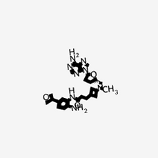 CN(C[C@@H]1CC[C@H](n2cnc3c(N)ncnc32)O1)C1CC(CCC(=O)Nc2cc(C3COC3)ccc2N)C1